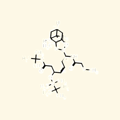 CSCC(=O)N[C@@H](C/C=C\C(CC(=O)OC(C)(C)C)O[Si](C)(C)C(C)(C)C)B1OC2C[C@@H]3C[C@@H](C3(C)C)[C@]2(C)O1